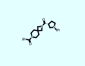 CC(C)C(=O)N1CCC2(CC1)CN(C(=O)[C@@H]1CCN(C(C)C)C1)C2